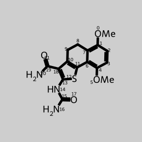 COc1ccc(OC)c2c1CCc1c-2sc(NC(N)=O)c1C(N)=O